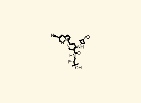 CC(C)(O)[C@H](F)CNC(=O)c1cnc(-c2ccc3cc(C#N)cnn23)cc1N[C@H]1C[C@H](C=O)C1